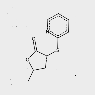 CC1CC(Sc2ccccn2)C(=O)O1